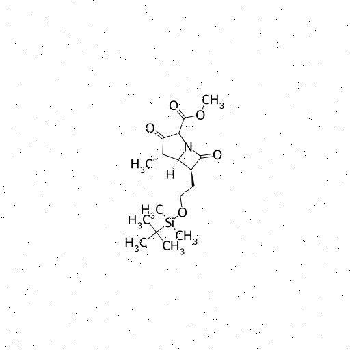 COC(=O)C1C(=O)[C@@H](C)[C@@H]2[C@H](CCO[Si](C)(C)C(C)(C)C)C(=O)N12